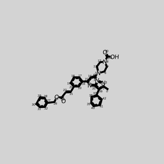 Cc1nn2c(N3CCN(C(=O)O)CC3)cc(-c3cccc(C=CC(=O)OCc4ccccc4)c3)nc2c1-c1ccccc1